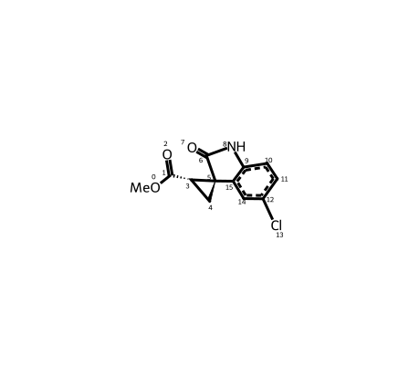 COC(=O)[C@H]1C[C@]12C(=O)Nc1ccc(Cl)cc12